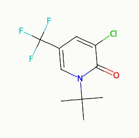 CC(C)(C)n1cc(C(F)(F)F)cc(Cl)c1=O